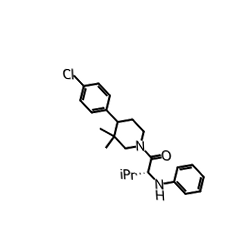 CC(C)[C@@H](Nc1ccccc1)C(=O)N1CCC(c2ccc(Cl)cc2)C(C)(C)C1